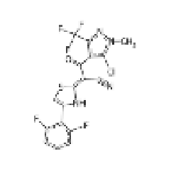 Cn1nc(C(F)(F)F)c(C(=O)C(C#N)=C2NC(c3c(F)cccc3F)=CS2)c1Cl